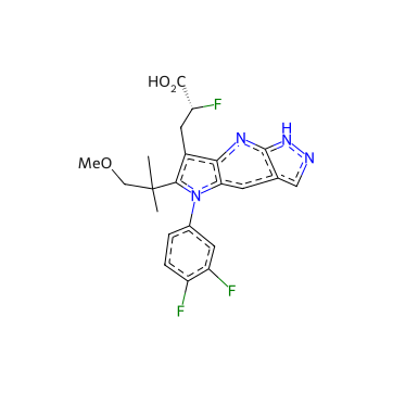 COCC(C)(C)c1c(C[C@@H](F)C(=O)O)c2nc3[nH]ncc3cc2n1-c1ccc(F)c(F)c1